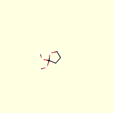 CCOC1(OCC)CCCO1